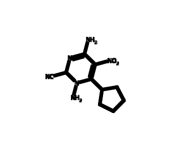 N#CC1N=C(N)C([N+](=O)[O-])=C(C2CCCC2)N1N